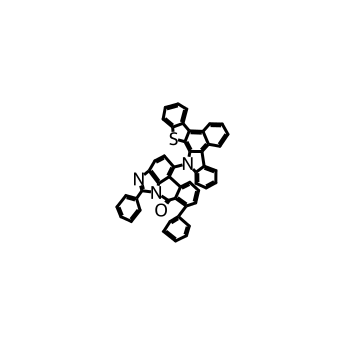 O=c1c2c(-c3ccccc3)cccc2c2c(-n3c4ccccc4c4c5ccccc5c5c6ccccc6sc5c43)ccc3nc(-c4ccccc4)n1c32